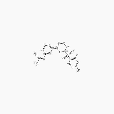 Cc1cc(F)ccc1S(=O)(=O)N1CCCC(c2cccc(CC(=O)O)c2)C1